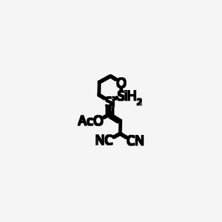 CC(=O)OC(=CC(C#N)C#N)[SiH]1CCCO[SiH2]1